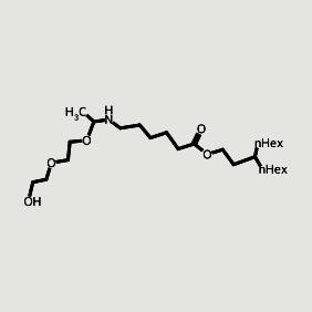 CCCCCCC(CCCCCC)CCOC(=O)CCCCCNC(C)OCCOCCO